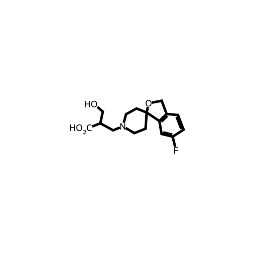 O=C(O)C(CO)CN1CCC2(CC1)OCc1ccc(F)cc12